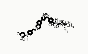 Cc1cc(-c2ncnn3cc(-c4ccc5c(c4)CCN(CCc4ccc(NC6CCC(=O)NC6=O)cc4)C5)cc23)ccc1CNC(=O)c1noc(C(C)(C)C)n1